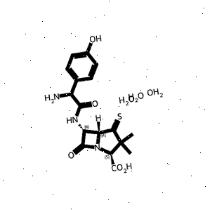 CC1(C)C(=S)[C@H]2[C@@H](NC(=O)C(N)c3ccc(O)cc3)C(=O)N2[C@@H]1C(=O)O.O.O.O